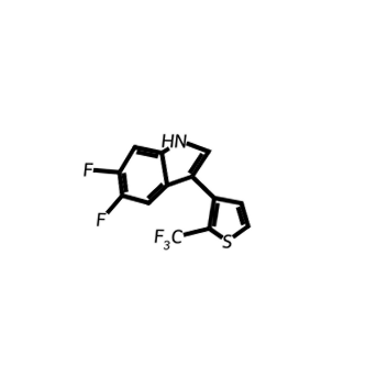 Fc1cc2[nH]cc(-c3ccsc3C(F)(F)F)c2cc1F